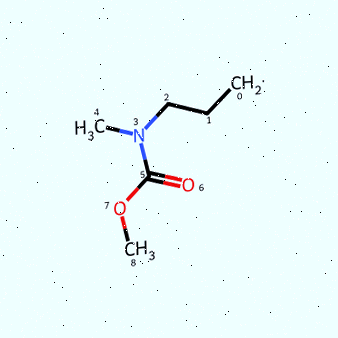 [CH2]CCN(C)C(=O)OC